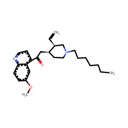 C=C[C@H]1CN(CCCCCCC)CC[C@H]1CC(=O)c1ccnc2ccc(OC)cc12